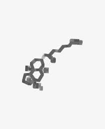 COCCCCC(=O)C[C@H]1CC[C@@H]2[C@H](CC[C@]3(C)CCC[C@@H]23)C1